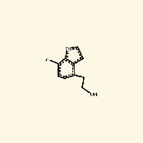 OCCc1ccc(Cl)c2occc12